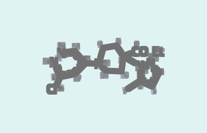 CCOC(=O)C1(n2nccc2C)CCN(c2cnnc(Cl)c2)CC1